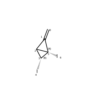 C=C1C2[C@@H](I)[C@]12I